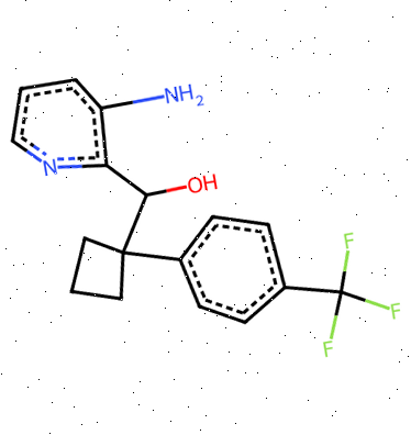 Nc1cccnc1C(O)C1(c2ccc(C(F)(F)F)cc2)CCC1